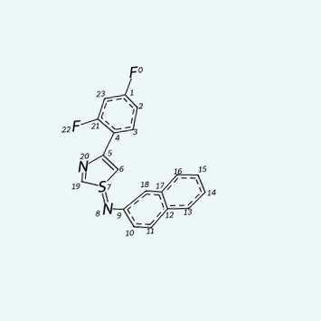 Fc1ccc(C2=CS(=Nc3ccc4ccccc4c3)C=N2)c(F)c1